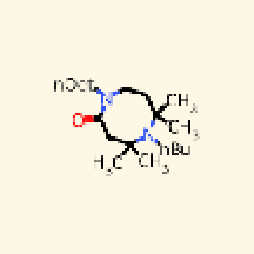 CCCCCCCCN1CCC(C)(C)N(CCCC)C(C)(C)CC1=O